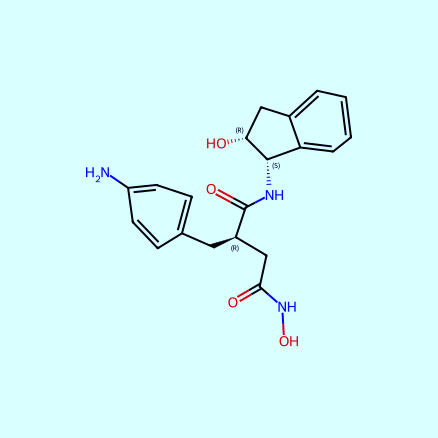 Nc1ccc(C[C@H](CC(=O)NO)C(=O)N[C@H]2c3ccccc3C[C@H]2O)cc1